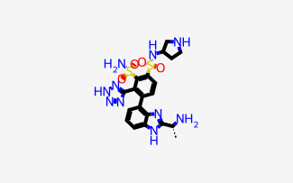 C[C@@H](N)c1nc2c(-c3ccc(S(=O)(=O)NC4CCNC4)c(S(N)(=O)=O)c3-c3nn[nH]n3)cccc2[nH]1